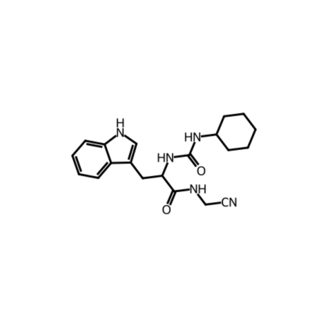 N#CCNC(=O)C(Cc1c[nH]c2ccccc12)NC(=O)NC1CCCCC1